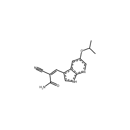 CC(C)Oc1cnc2[nH]cc(C=C(C#N)C(N)=O)c2c1